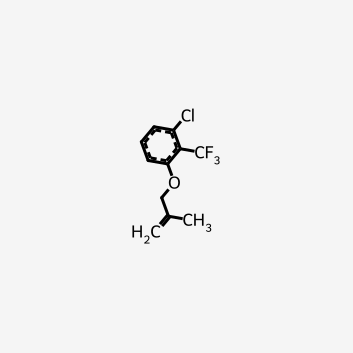 C=C(C)COc1cccc(Cl)c1C(F)(F)F